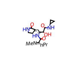 CCC[C@H](NC)C(=O)N[C@@H](C[C@@H]1CCNC1=O)C(O)C(=O)NC1CC1